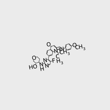 COc1ccc(NCc2cc(=O)c3ccc(-c4nc(N[C@@H]5CCOC[C@H]5O)ncc4F)cc3n2C(C)C)cc1